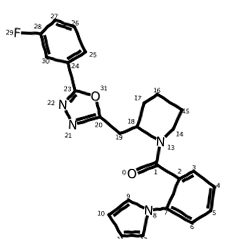 O=C(c1ccccc1-n1cccc1)N1CCCCC1Cc1nnc(-c2cccc(F)c2)o1